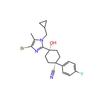 Cc1c(Br)nc([C@]2(O)CC[C@](C#N)(c3ccc(F)cc3)CC2)n1CC1CC1